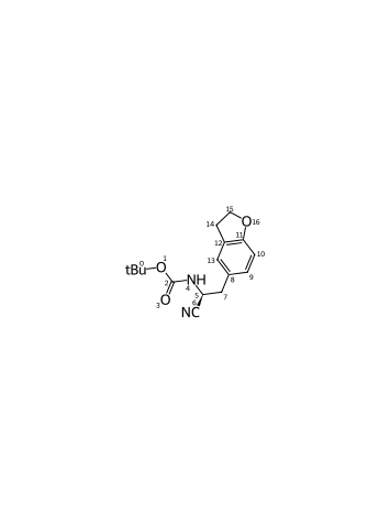 CC(C)(C)OC(=O)N[C@H](C#N)Cc1ccc2c(c1)CCO2